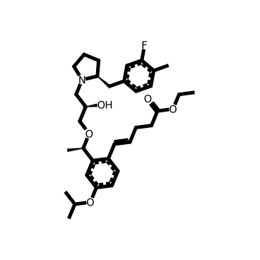 CCOC(=O)CC/C=C/c1ccc(OC(C)C)cc1[C@@H](C)OC[C@H](O)CN1CCC[C@H]1Cc1ccc(C)c(F)c1